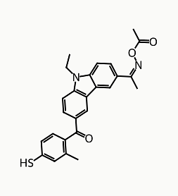 CCn1c2ccc(C(=O)c3ccc(S)cc3C)cc2c2cc(/C(C)=N\OC(C)=O)ccc21